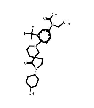 CCN(C(=O)O)c1ccc(N2CCCC3(CCN([C@H]4CC[C@H](O)CC4)C3=O)C2)c(C(F)(F)F)c1